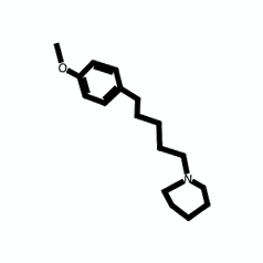 COc1ccc(CCCCCN2CCCCC2)cc1